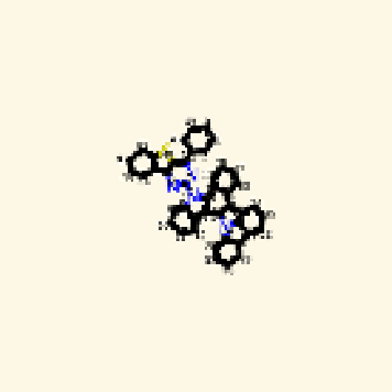 c1ccc(-c2nc(-n3c4ccccc4c4c3c3ccccc3c3c5cccc6c7ccccc7n(c65)c34)nc3c2sc2ccccc23)cc1